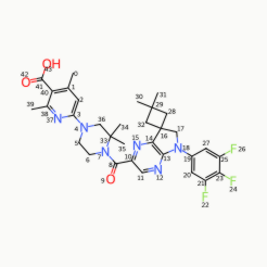 Cc1cc(N2CCN(C(=O)c3cnc4c(n3)C3(CN4c4cc(F)c(F)c(F)c4)CC(C)(C)C3)C(C)(C)C2)nc(C)c1C(=O)O